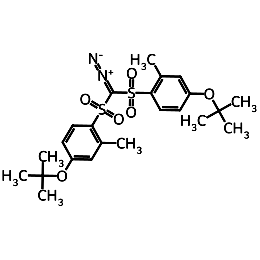 Cc1cc(OC(C)(C)C)ccc1S(=O)(=O)C(=[N+]=[N-])S(=O)(=O)c1ccc(OC(C)(C)C)cc1C